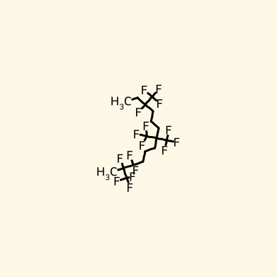 CCC(F)(CCCC(CCCC(F)(F)C(C)(F)C(F)(F)F)(C(F)(F)F)C(F)(F)F)C(F)(F)F